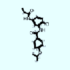 CCC(=O)Nc1ccc(Cl)c(NC(=O)c2ccc(OC(C)C)cc2)c1